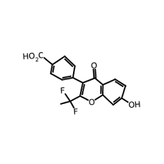 CC(F)(F)c1oc2cc(O)ccc2c(=O)c1-c1ccc(C(=O)O)cc1